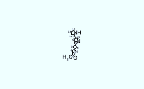 CC(=O)N1CC2(CC(n3cc(-c4ccc[nH]4)cn3)C2)C1